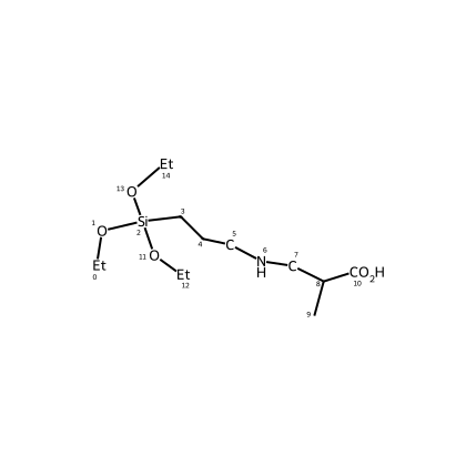 CCO[Si](CCCNCC(C)C(=O)O)(OCC)OCC